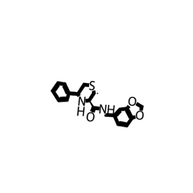 O=C(NCc1ccc2c(c1)OCO2)[C@@H]1[CH]SCC(c2ccccc2)N1